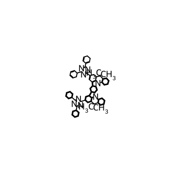 CC1(C)c2ccccc2-n2c3cc4c(cc3c3cc(-c5nc(-c6ccccc6)nc(-c6ccccc6)n5)cc1c32)c1c2n4-c3ccccc3C(C)(C)C2CC(c2nc(C3=CCCC=C3)nc(C3C=CC=CC3)n2)=C1